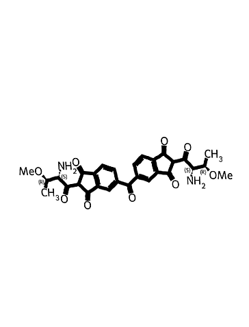 CO[C@H](C)[C@H](N)C(=O)C1C(=O)c2ccc(C(=O)c3ccc4c(c3)C(=O)C(C(=O)[C@@H](N)[C@@H](C)OC)C4=O)cc2C1=O